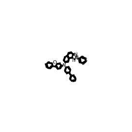 c1ccc(-c2ccc(N(c3ccc4c(c3)oc3ccccc34)c3ccc4ccc5nn(-c6ccccc6)nc5c4c3)cc2)cc1